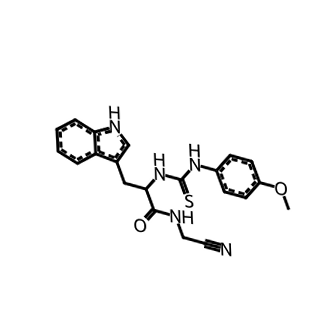 COc1ccc(NC(=S)NC(Cc2c[nH]c3ccccc23)C(=O)NCC#N)cc1